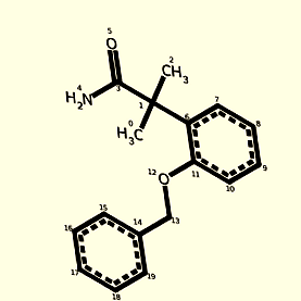 CC(C)(C(N)=O)c1ccccc1OCc1ccccc1